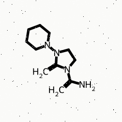 C=C(N)N1CCN(N2CCCCC2)C1=C